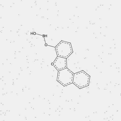 OBOc1cccc2c1oc1ccc3ccccc3c12